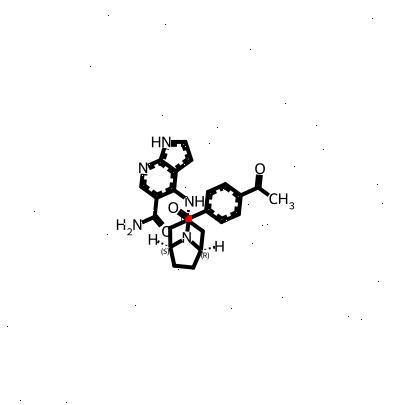 CC(=O)c1ccc(C(=O)N2[C@@H]3CC[C@H]2C[C@H](Nc2c(C(N)=O)cnc4[nH]ccc24)C3)cc1